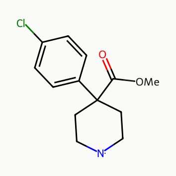 COC(=O)C1(c2ccc(Cl)cc2)CC[N]CC1